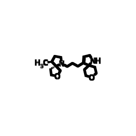 C[C@H]1CCN(CCCC2=CCNC23CCOCC3)[C@]12CCOC2